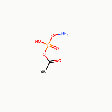 CCCCC(=O)OP(=O)(O)ON